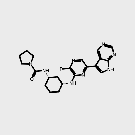 O=C(N[C@H]1CCC[C@@H](Nc2nc(-c3c[nH]c4ncncc34)cnc2F)C1)N1CCCC1